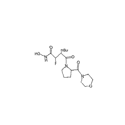 CCCCC(C(=O)N1CCCC1C(=O)N1CCOCC1)C(F)C(=O)NO